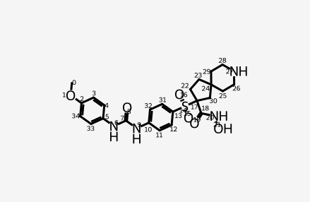 COc1ccc(NC(=O)Nc2ccc(S(=O)(=O)C3(C(=O)NO)CCC4(CCNCC4)C3)cc2)cc1